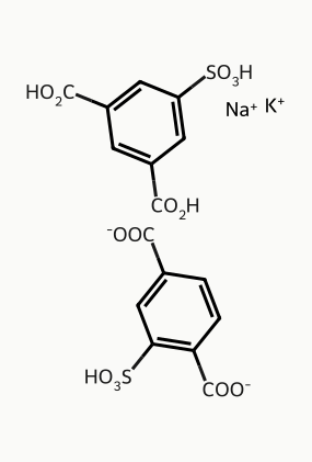 O=C(O)c1cc(C(=O)O)cc(S(=O)(=O)O)c1.O=C([O-])c1ccc(C(=O)[O-])c(S(=O)(=O)O)c1.[K+].[Na+]